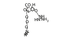 [N-]=[N+]=NCCOCCOCCOCCN1Cc2cc(OCCCNC(=N)N)ccc2C[C@@H](CC(=O)O)C1=O